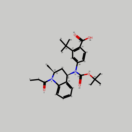 CCC(=O)N1c2ccccc2[C@H](N(C(=O)OC(C)(C)C)c2ccc(C(=O)O)c(C(C)(C)C)c2)C[C@@H]1C